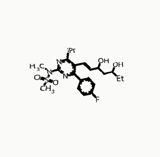 CCC(O)CC(O)/C=C/c1c(-c2ccc(F)cc2)nc(N(C)S(C)(=O)=O)nc1C(C)C